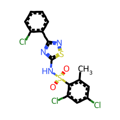 Cc1cc(Cl)cc(Cl)c1S(=O)(=O)Nc1nc(-c2ccccc2Cl)ns1